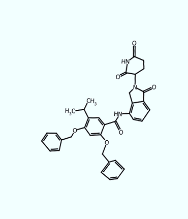 CC(C)c1cc(C(=O)Nc2cccc3c2CN(C2CCC(=O)NC2=O)C3=O)c(OCc2ccccc2)cc1OCc1ccccc1